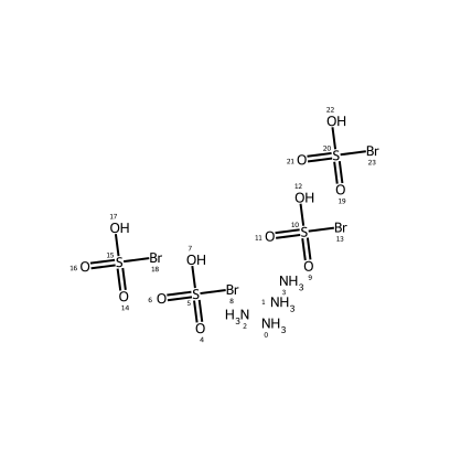 N.N.N.N.O=S(=O)(O)Br.O=S(=O)(O)Br.O=S(=O)(O)Br.O=S(=O)(O)Br